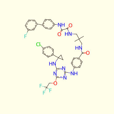 CC(C)(CNC(=O)C(=O)Nc1ccc(-c2cccc(F)c2)cc1)CNC(=O)c1ccc(Nc2nc(NC3(c4ccc(Cl)cc4)CC3)nc(OCC(F)(F)F)n2)cc1